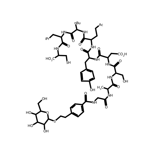 CCCCC(NC(=O)C(CCC(C)=O)NC(=O)C(Cc1ccc(O)cc1)NC(=O)C(CC(=O)O)NC(=O)C(CO)NC(=O)C(C)NC(=O)CNC(=O)c1ccc(CCSC2OC(CO)C(O)C(O)C2O)cc1)C(=O)NC(CC(C)C)C(=O)NC(CS)C(=O)O